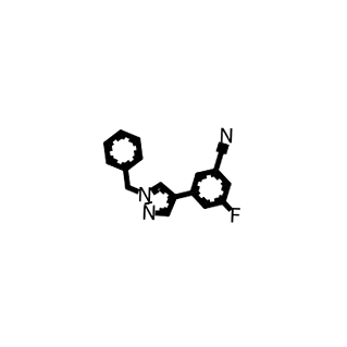 N#Cc1cc(F)cc(-c2cnn(Cc3ccccc3)c2)c1